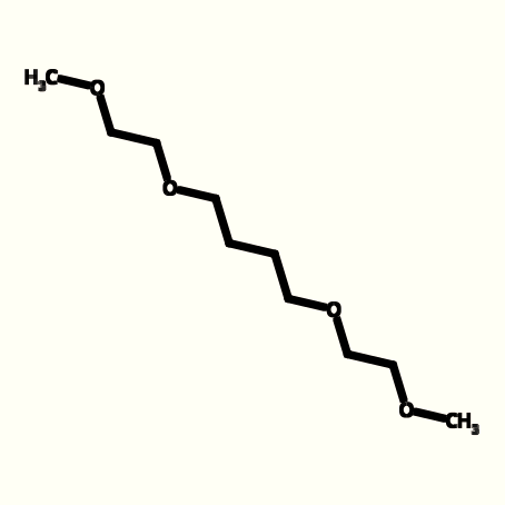 COCCOCCCCOCCOC